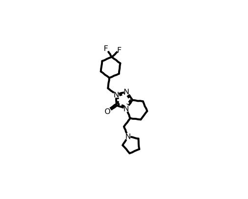 O=c1n(CC2CCC(F)(F)CC2)nc2n1C(CN1CCCC1)CCC2